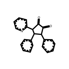 O=C1C(=O)C(c2ccccn2)C(c2ccccc2)C1c1ccccc1